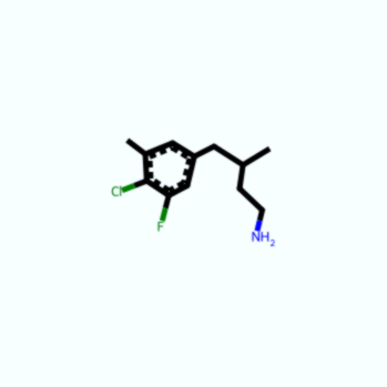 Cc1cc(CC(C)CCN)cc(F)c1Cl